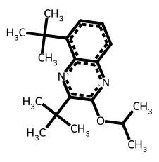 CC(C)Oc1nc2cccc(C(C)(C)C)c2nc1C(C)(C)C